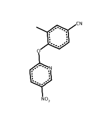 Cc1cc(C#N)ccc1Oc1ccc([N+](=O)[O-])cn1